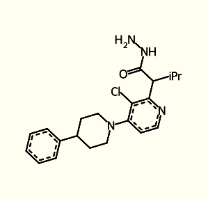 CC(C)C(C(=O)NN)c1nccc(N2CCC(c3ccccc3)CC2)c1Cl